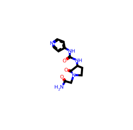 NC(=O)CN1CCC(NC(=O)Nc2ccncc2)C1=O